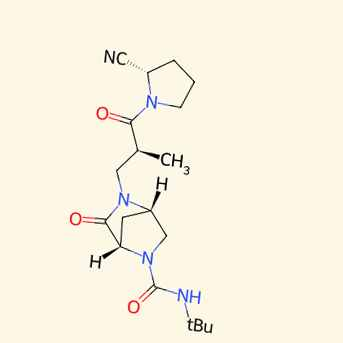 C[C@@H](CN1C(=O)[C@@H]2C[C@H]1CN2C(=O)NC(C)(C)C)C(=O)N1CCC[C@H]1C#N